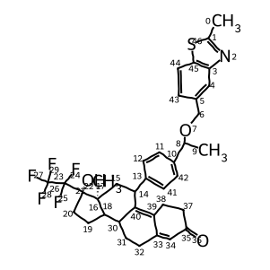 Cc1nc2cc(COC(C)c3ccc(C4C[C@@]5(C)C(CC[C@@]5(O)C(F)(F)C(F)(F)F)C5CCC6=CC(=O)CCC6=C45)cc3)ccc2s1